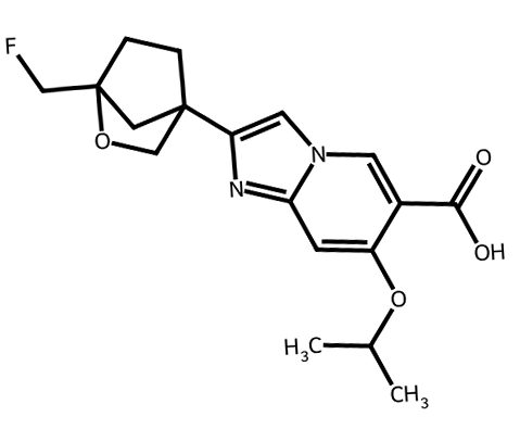 CC(C)Oc1cc2nc(C34CCC(CF)(C3)OC4)cn2cc1C(=O)O